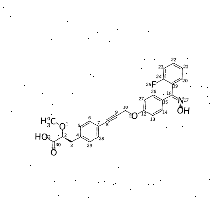 CO[C@@H](Cc1ccc(C#CCOc2ccc(/C(=N\O)c3ccccc3F)cc2)cc1)C(=O)O